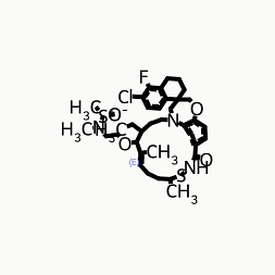 CCC1CCN2CC3(CCCc4c3ccc(Cl)c4F)COc3ccc(cc32)C(=O)NSC(C)CC/C=C(\C)C1OCCN(C)[S+](C)[O-]